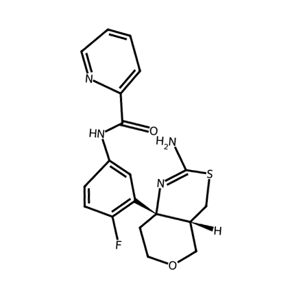 NC1=N[C@@]2(c3cc(NC(=O)c4ccccn4)ccc3F)CCOC[C@H]2CS1